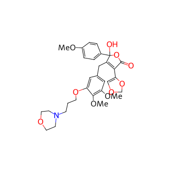 COc1ccc(C2(O)OC(=O)C(C3=COCO3)=C2Cc2cc(OC)c(OC)c(OCCCN3CCOCC3)c2)cc1